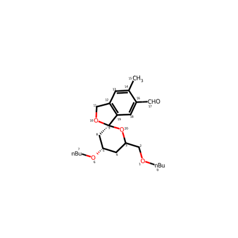 CCCCOCC1C[C@H](OCCCC)C[C@@]2(OCc3cc(C)c(C=O)cc32)O1